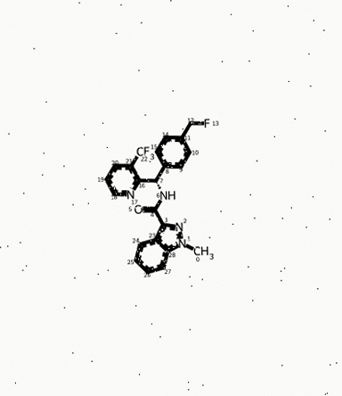 Cn1nc(C(=O)N[C@@H](c2ccc(CF)cc2)c2ncccc2C(F)(F)F)c2ccccc21